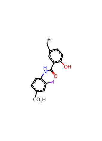 CC(C)Cc1ccc(O)c(C(=O)Nc2ccc(C(=O)O)cc2I)c1